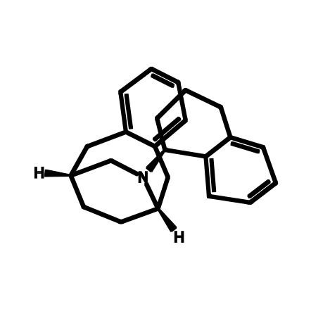 c1ccc2c(c1)C[C@H]1CC[C@@H](C2)N([C@H]2CCCc3ccccc32)C1